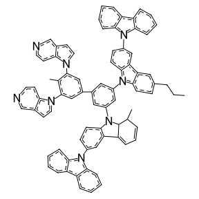 CCCc1ccc2c(c1)c1cc(-n3c4ccccc4c4ccccc43)ccc1n2-c1cc(-c2cc(-n3ccc4cnccc43)c(C)c(-n3ccc4cnccc43)c2)cc(N2c3ccc(-n4c5ccccc5c5ccccc54)cc3C3=CC=CC(C)C32)c1